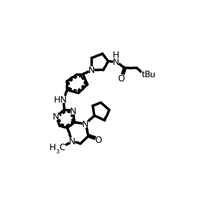 CN1CC(=O)N(C2CCCC2)c2nc(Nc3ccc(N4CCC(NC(=O)CC(C)(C)C)C4)cc3)ncc21